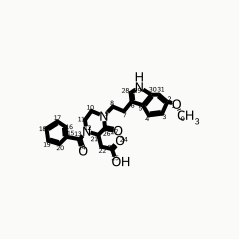 COc1ccc2c(CCN3CCN(C(=O)c4ccccc4)C(CC(=O)O)C3=O)c[nH]c2c1